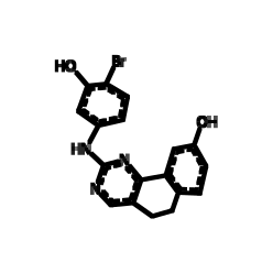 Oc1ccc2c(c1)-c1nc(Nc3ccc(Br)c(O)c3)ncc1CC2